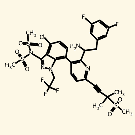 CC(C)(C#Cc1ccc(-c2ccc(Cl)c3c(N(S(C)(=O)=O)S(C)(=O)=O)nn(CC(F)(F)F)c23)c(C(N)Cc2cc(F)cc(F)c2)n1)S(C)(=O)=O